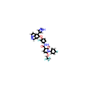 O=C(Nc1ccc(Oc2cc3cnn4ccc(c2-c2cn[nH]c2)c34)c(F)c1)c1ccc(OCC(F)(F)F)n(-c2ccc(F)cc2)c1=O